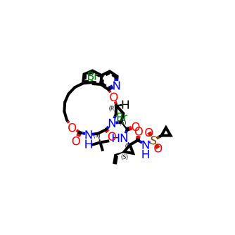 C=C[C@@H]1C[C@]1(NC(=O)[C@@H]1C[C@H]2Oc3nccc4ccc(c(Br)c34)CCCCCOC(=O)N[C@@H](C(C)(C)C)C(=O)N1C2Br)C(=O)NS(=O)(=O)C1CC1